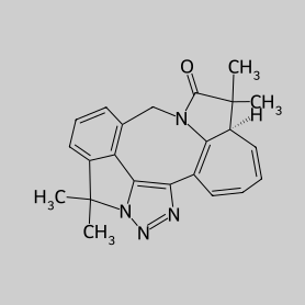 CC1(C)C(=O)N2Cc3cccc4c3-c3c(nnn3C4(C)C)C3=C2[C@@H]1C=CC=C3